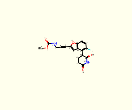 CC(C)(C)OC(=O)NCC#Cc1cc2c(C3CCC(=O)NC3=O)c(F)ccc2o1